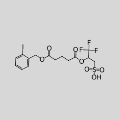 O=C(CCCC(=O)OC(CS(=O)(=O)O)C(F)(F)F)OCc1ccccc1I